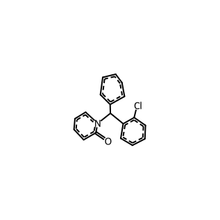 O=c1ccccn1C(c1ccccc1)c1ccccc1Cl